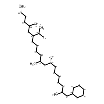 CCCC(CCCCC[C@@H](CC)CC(C)CCCCC(CC(O)CCC[C@@H](C)CC)C(C)I)CC1CCCCC1